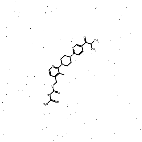 CN(C)C(=O)c1ccc(N2CCN(c3nccc(COC(=O)NC(=N)N)c3F)CC2)nc1